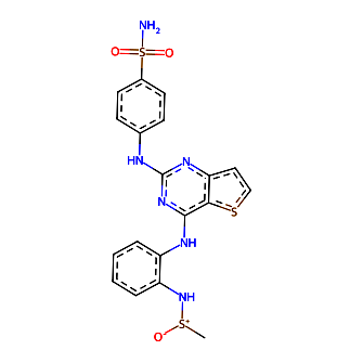 C[S+]([O-])Nc1ccccc1Nc1nc(Nc2ccc(S(N)(=O)=O)cc2)nc2ccsc12